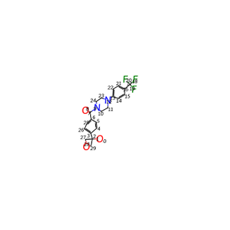 COC1(c2ccc(C(=O)N3CCN(c4ccc(C(F)(F)F)cc4)CC3)cc2)COC1